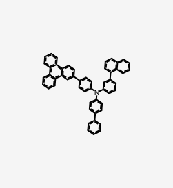 c1ccc(-c2ccc(N(c3ccc(-c4ccc5c6ccccc6c6ccccc6c5c4)cc3)c3cccc(-c4cccc5ccccc45)c3)cc2)cc1